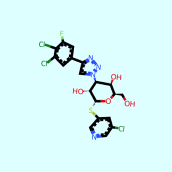 OC[C@H]1O[C@H](Sc2cncc(Cl)c2)[C@H](O)[C@@H](n2cc(-c3cc(F)c(Cl)c(Cl)c3)nn2)[C@H]1O